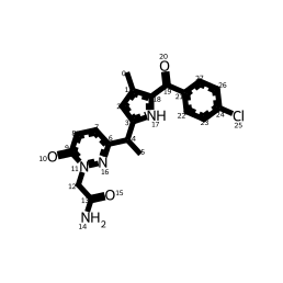 Cc1cc(C(C)c2ccc(=O)n(CC(N)=O)n2)[nH]c1C(=O)c1ccc(Cl)cc1